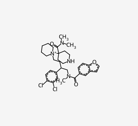 CN(C)C(=O)C1([N+]2(CCC(CN(C)C(=O)c3ccc4occc4c3)c3ccc(Cl)c(Cl)c3)CCCCC2)CCNCC1